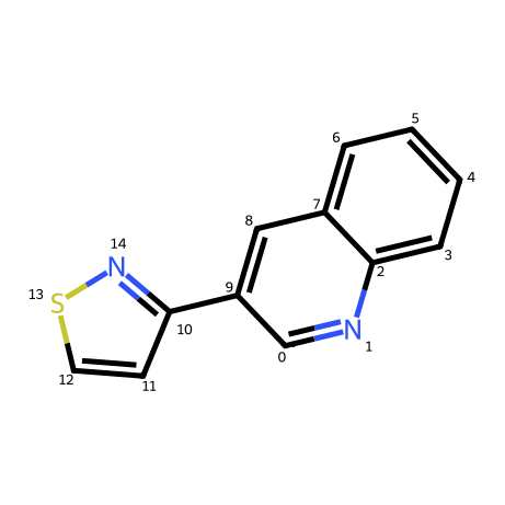 [c]1nc2ccccc2cc1-c1ccsn1